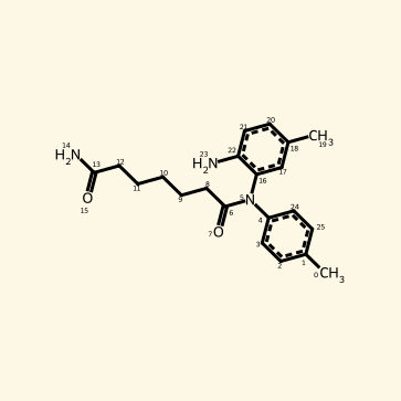 Cc1ccc(N(C(=O)CCCCCC(N)=O)c2cc(C)ccc2N)cc1